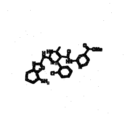 COC(=O)c1ccnc(NC(=O)C2=C(C)NC(Nc3nc4cccc(N)c4o3)=N[C@@H]2c2ccccc2Cl)c1